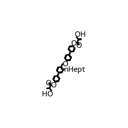 C=C(CO)C(=O)Oc1ccc(-c2ccc(OCc3ccc(-c4ccc(OC(=O)C(C)CO)cc4)cc3CCCCCCC)cc2)cc1